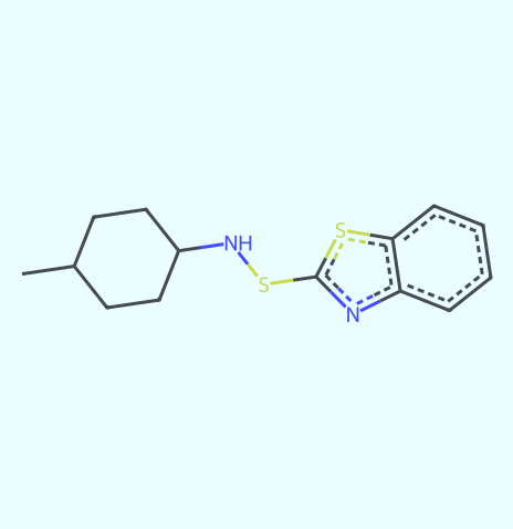 CC1CCC(NSc2nc3ccccc3s2)CC1